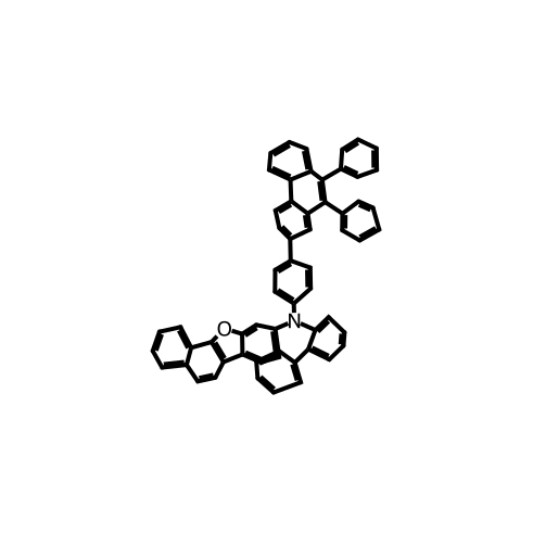 c1ccc(-c2ccccc2N(c2ccc(-c3ccc4c(c3)c(-c3ccccc3)c(-c3ccccc3)c3ccccc34)cc2)c2ccc3c(c2)oc2c4ccccc4ccc32)cc1